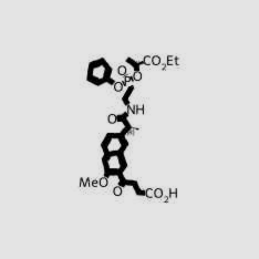 CCOC(=O)[C@H](C)OP(=O)(CCNC(=O)[C@H](C)c1ccc2cc(OC)c(C(=O)CCC(=O)O)cc2c1)Oc1ccccc1